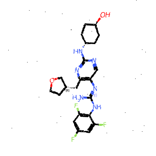 N/C(=N\c1cnc(N[C@H]2CC[C@H](O)CC2)nc1C[C@@H]1CCOC1)Nc1c(F)cc(F)cc1F